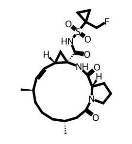 C[C@@H]1CCC[C@@H](C)/C=C\[C@@H]2C[C@@]2(C(=O)NS(=O)(=O)C2(CF)CC2)NC(=O)[C@@H]2CCCN2C(=O)C1